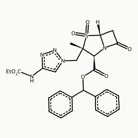 CCOC(=O)Nc1cn(C[C@@]2(C)[C@H](C(=O)OC(c3ccccc3)c3ccccc3)N3C(=O)C[C@H]3S2(=O)=O)nn1